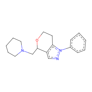 c1ccc(-n2ncc3c2CCOC3CN2CCCCC2)cc1